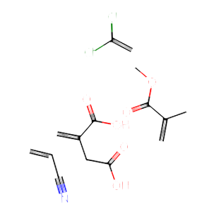 C=C(C)C(=O)OC.C=C(CC(=O)O)C(=O)O.C=C(Cl)Cl.C=CC#N